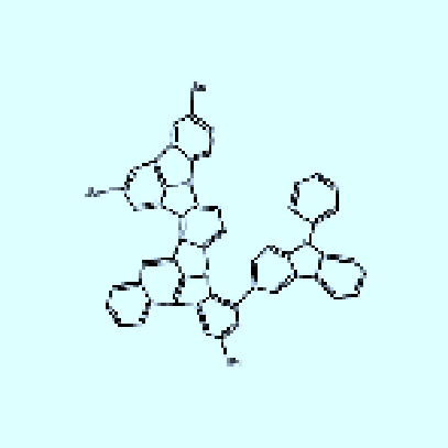 CC(C)(C)c1ccc2c(c1)c1cc(C(C)(C)C)cc3c4c5c6cc7ccccc7c7c8cc(C(C)(C)C)cc(-c9ccc%10c(c9)c9ccccc9n%10-c9ccccc9)c8n(c5ccc4n2c13)c67